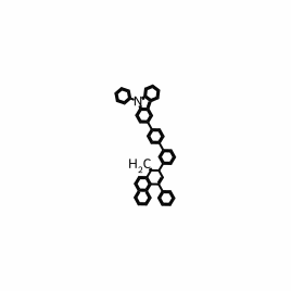 C=C1c2ccc3ccccc3c2C(c2ccccc2)=CC1c1cccc(-c2ccc(-c3ccc4c(c3)c3ccccc3n4-c3ccccc3)cc2)c1